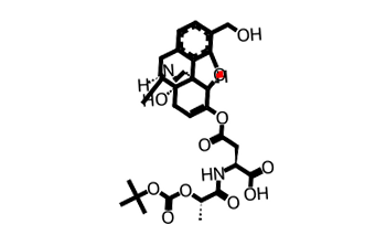 C[C@H](OC(=O)OC(C)(C)C)C(=O)N[C@@H](CC(=O)OC1=CC[C@@]2(O)[C@H]3Cc4ccc(CO)c5c4[C@@]2(CCN3C)[C@H]1O5)C(=O)O